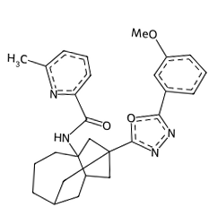 COc1cccc(-c2nnc(C34CC5CCCC(NC(=O)c6cccc(C)n6)(C3)C(C5)C4)o2)c1